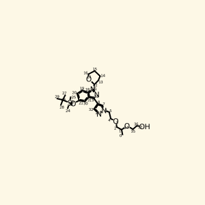 CC(COCCn1cc(-c2nn(C3CCCCO3)c3ccc(O[Si](C)(C)C(C)(C)C)cc23)cn1)OCCO